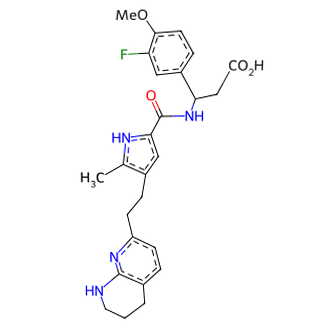 COc1ccc(C(CC(=O)O)NC(=O)c2cc(CCc3ccc4c(n3)NCCC4)c(C)[nH]2)cc1F